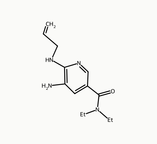 C=CCNc1ncc(C(=O)N(CC)CC)cc1N